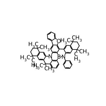 CC1(C)CCC(C)(C)c2cc3c(cc21)-c1c2c(cc4c1oc1ccccc14)N1c4cc5c(cc4C(C)(C)c4cccc(c41)B2N3c1ccccc1)C(C)(C)CCC5(C)C